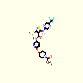 CC(=O)N1CCC(Oc2ccc(NC(=O)c3c(C)nsc3Nc3cnc(C(F)(F)F)cn3)cn2)CC1